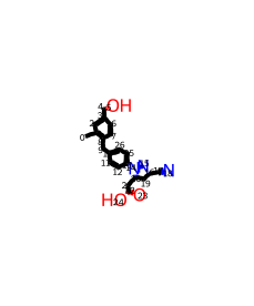 Cc1cc(CO)ccc1Cc1ccc(N2N=C(C#N)CC2CC(=O)O)cc1